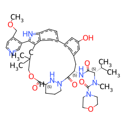 COCc1ccncc1-c1[nH]c2ccc3cc2c1CC(C)(C)COC(=O)[C@@H]1CCCN(N1)C(=O)[C@@H](NC(=O)[C@H](C(C)C)N(C)C(=O)N1CCOCC1)Cc1cc(O)cc-3c1